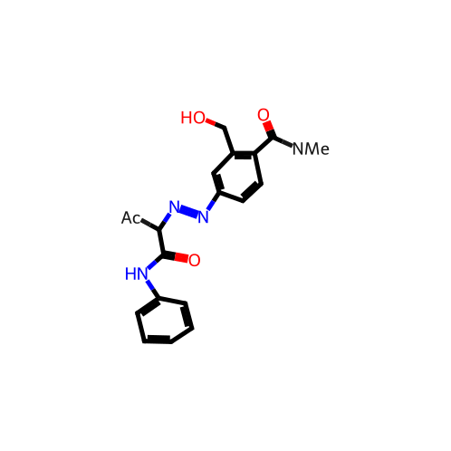 CNC(=O)c1ccc(N=NC(C(C)=O)C(=O)Nc2ccccc2)cc1CO